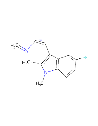 C=N/C=C\c1c(C)n(C)c2ccc(F)cc12